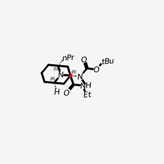 CCC[C@]12CCC[C@H](C[C@@H](N(C)C(=O)OC(C)(C)C)C1)N2CC(=O)NCC